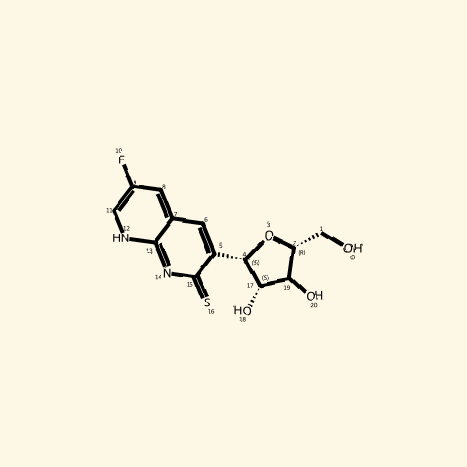 OC[C@H]1O[C@@H](c2cc3cc(F)c[nH]c-3nc2=S)[C@@H](O)C1O